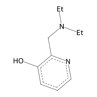 CCN(CC)Cc1ncccc1O